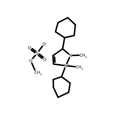 CN1C(C2CCCCC2)C=C[N+]1(C)C1CCCCC1.COS(=O)(=O)[O-]